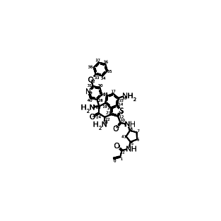 C=CC(=O)NC1CCC(NC(=O)c2sc3c(N)ccc4c3c2C(N)C(=O)C4(N)c2ccc(Oc3ccccc3)nc2)C1